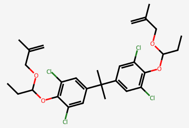 C=C(C)COC(CC)Oc1c(Cl)cc(C(C)(C)c2cc(Cl)c(OC(CC)OCC(=C)C)c(Cl)c2)cc1Cl